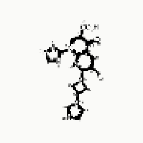 O=C(O)c1cn(-c2ncns2)c2nc(N3CC(n4ccnc4)C3)c(F)cc2c1=O